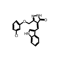 O=C1NN=C(COc2cccc(Cl)c2)C1=Cc1c[nH]c2ccccc12